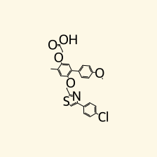 COc1ccc(-c2cc(OCC(=O)O)c(C)cc2OCc2nc(-c3ccc(Cl)cc3)cs2)cc1